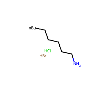 Br.CCCCCCCCCN.Cl